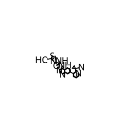 C#Cc1nc(NC(=O)Nc2ncnc3cc(-c4cccnc4C4(C#N)CC4)ccc23)cs1